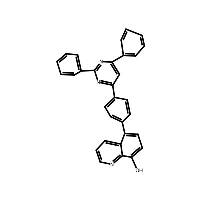 Oc1ccc(-c2ccc(-c3cc(-c4ccccc4)nc(-c4ccccc4)n3)cc2)c2cccnc12